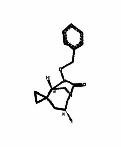 O=C1N2C[C@@H](N1OCc1ccccc1)C1(CC1)C[C@H]2I